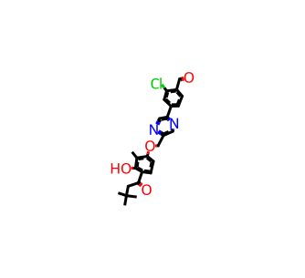 Cc1c(OCc2cnc(-c3ccc(C=O)c(Cl)c3)cn2)ccc(C(=O)CC(C)(C)C)c1O